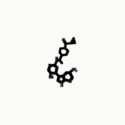 CC(Nc1ncc(C#N)c(-c2c[nH]c3ncc(C(F)(F)F)cc23)n1)C1CCN(C(=O)C2CC2)CC1